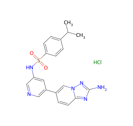 CC(C)c1ccc(S(=O)(=O)Nc2cncc(-c3ccc4nc(N)nn4c3)c2)cc1.Cl